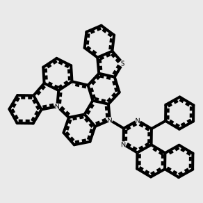 c1ccc(-c2nc(-n3c4cc5sc6ccccc6c5c5c6cccc7c8ccccc8n(c8cccc3c8c54)c76)nc3ccc4ccccc4c23)cc1